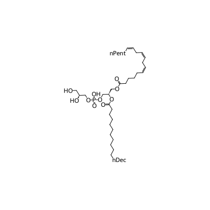 CCCCC/C=C\C/C=C\C/C=C\CCCCC(=O)OC[C@H](COP(=O)(O)OC[C@@H](O)CO)OC(=O)CCCCCCCCCCCCCCCCCCCC